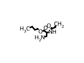 C=CC(=O)NC(CN)C(=O)OCCCC